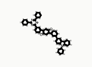 c1ccc(-c2nc(-c3ccccc3)nc(-c3ccc4oc5cc6c(cc5c4c3)oc3ccc(-c4ccc5c(c4)c4ccccc4n5-c4ccccc4)cc36)n2)cc1